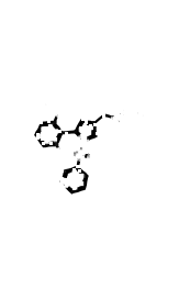 CNCc1cc(-c2c(F)cccc2OC)n(S(=O)(=O)c2cccnc2)c1